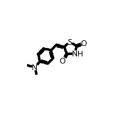 CN(C)c1ccc(/C=C2/SC(=O)NC2=O)cc1